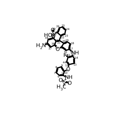 CS(=O)(=O)Nc1ccccc1Oc1ccc(Nc2ccc3c(-c4ccccc4S(=O)(=O)O)c4ccc(N)cc4[o+]c3c2)c(F)c1